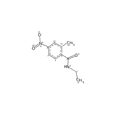 CCNC(=O)c1ccc([N+](=O)[O-])cc1C